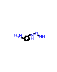 N=C/N=C\NCC1C=CC=C(CN)C1